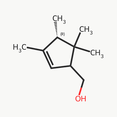 CC1=CC(CO)C(C)(C)[C@H]1C